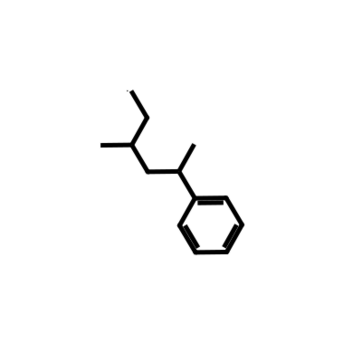 [CH2]CC(C)CC(C)c1ccccc1